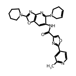 Cc1cc(-c2nc(C(=O)Nc3cc4oc(N5CCCCC5)nc4nc3N3CC=CCC3)co2)ccn1